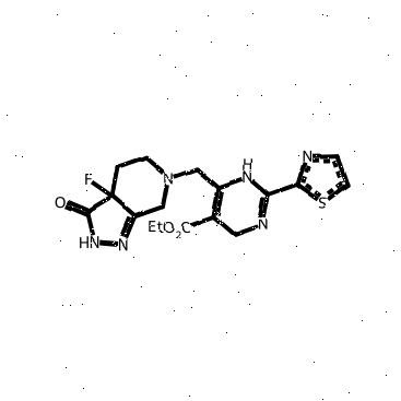 CCOC(=O)C1=C(CN2CCC3(F)C(=O)NN=C3C2)NC(c2nccs2)=NC1